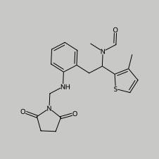 Cc1ccsc1C(Cc1ccccc1NCN1C(=O)CCC1=O)N(C)C=O